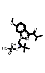 COc1ccc2c(C(=O)C(C)C)nn(/C=C(/OP(=O)(O)O)C(C)(C)C)c2c1